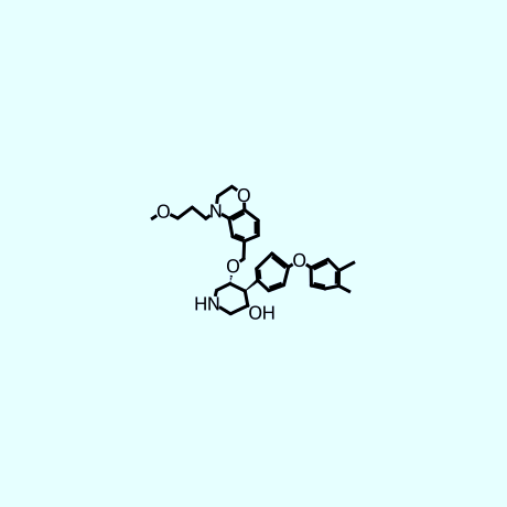 COCCCN1CCOc2ccc(CO[C@H]3CNC[C@@H](O)[C@@H]3c3ccc(Oc4ccc(C)c(C)c4)cc3)cc21